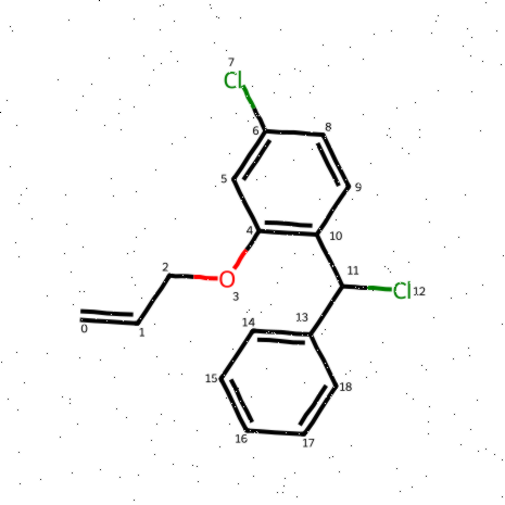 C=CCOc1cc(Cl)ccc1C(Cl)c1ccccc1